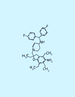 CCc1c(N)c(CC)c2c(c1CC)OC(CC)(CN1CCC(NC(c3ccc(F)cc3)c3ccc(F)cc3)CC1)C2